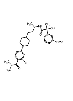 COc1cccc(C(O)(C(=O)NC(C)CCC2CCN(c3ccc(C(=O)N(C)C)c(Cl)n3)CC2)C(F)(F)F)c1